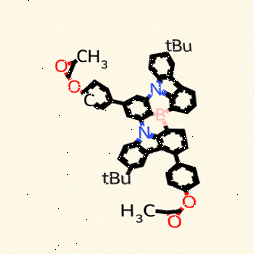 CC1OC1Oc1ccc(-c2cc3c4c(c2)-n2c5ccc(C(C)(C)C)cc5c5c(-c6ccc(OC7OC7C)cc6)ccc(c52)B4c2cccc4c5cc(C(C)(C)C)ccc5n-3c24)cc1